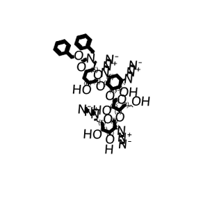 [N-]=[N+]=NC[C@@H]1O[C@H](O[C@H]2[C@@H](O)[C@H](O[C@@H]3[C@@H](O)[C@H](N=[N+]=[N-])C[C@H](N=[N+]=[N-])[C@H]3O[C@H]3O[C@H](CN(Cc4ccccc4)C(=O)OCc4ccccc4)CC[C@H]3O)O[C@@H]2CO)[C@H](N=[N+]=[N-])[C@@H](O)[C@@H]1O